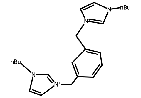 CCCCn1cc[n+](Cc2cccc(C[n+]3ccn(CCCC)c3)c2)c1